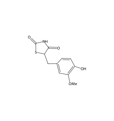 COc1cc(CC2SC(=O)NC2=O)ccc1O